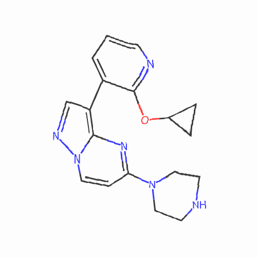 c1cnc(OC2CC2)c(-c2cnn3ccc(N4CCNCC4)nc23)c1